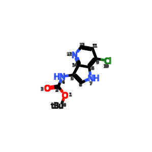 CC(C)(C)OC(=O)Nc1c[nH]c2c(Cl)ccnc12